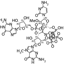 CO[C@@H]1[C@H](OP(=O)([O-])OC[C@H]2O[C@@H](n3cnc4c(=O)[nH]c(N)nc43)[C@H](O)[C@@H]2O)[C@@H](COP(=O)(O)OP(=O)(O)OP(=O)(O)OC[C@H]2O[C@@H](n3c[n+](C)c4c(=O)[nH]c(N)nc43)[C@H](O)[C@@H]2CC(=O)N(C)C)O[C@H]1n1ccc(N)nc1=O